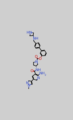 Cn1cc(-c2cnc(N)c(C(=O)N[C@@H]3CCN(C(=O)Oc4cccc(-c5ccc(CNC6CNC6)cc5)c4)C3)c2)cn1